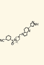 C[C@H]1C[C@H](Cn2ccc3nc(-c4cn[nH]c4)ccc32)CN1[S+]([O-])c1cccc(C#N)c1